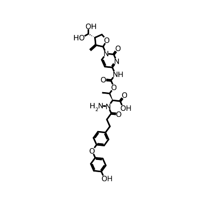 C=C1C(n2ccc(NC(=O)OC(C)[C@@H](C(=O)O)N(N)C(=O)CCc3ccc(Oc4ccc(O)cc4)cc3)nc2=O)OC[C@H]1C(O)O